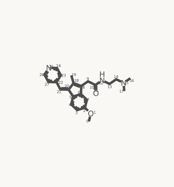 COc1ccc2c(c1)C(CC(=O)NCCN(C)C)=C(C)C2=Cc1ccncc1